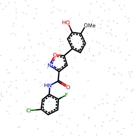 COc1ccc(-c2cc(C(=O)Nc3cc(Cl)ccc3F)no2)cc1O